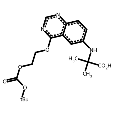 CC(C)(C)OC(=O)OCCOc1ncnc2ccc(NC(C)(C)C(=O)O)cc12